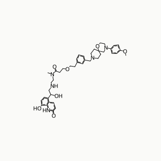 COc1ccc(N2CCOC3(CCN(Cc4cccc(CCOCCC(=O)N(C)CCNCC(O)c5ccc(O)c6[nH]c(=O)ccc56)c4)CC3)C2)cc1